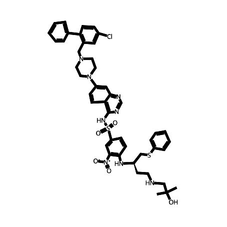 CC(C)(O)CNCC[C@H](CSc1ccccc1)Nc1ccc(S(=O)(=O)Nc2ncnc3cc(N4CCN(Cc5cc(Cl)ccc5-c5ccccc5)CC4)ccc23)cc1[N+](=O)[O-]